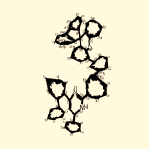 C1=C(c2ccccc2-c2ccccc2)N=C(c2cccc(-c3cccc(-c4cccc5c4Oc4ccccc4C54c5ccccc5-c5ccccc54)c3)c2)NC1c1ccccc1